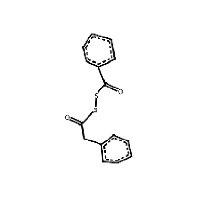 O=C(Cc1ccccc1)SSC(=O)c1ccccc1